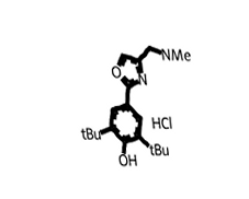 CNCc1coc(-c2cc(C(C)(C)C)c(O)c(C(C)(C)C)c2)n1.Cl